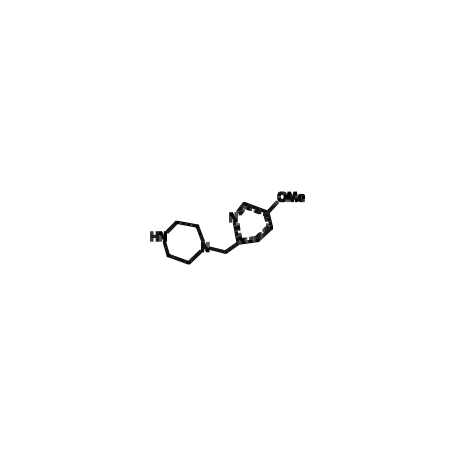 COc1ccc(CN2CCNCC2)nc1